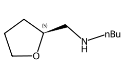 CCCCNC[C@@H]1CCCO1